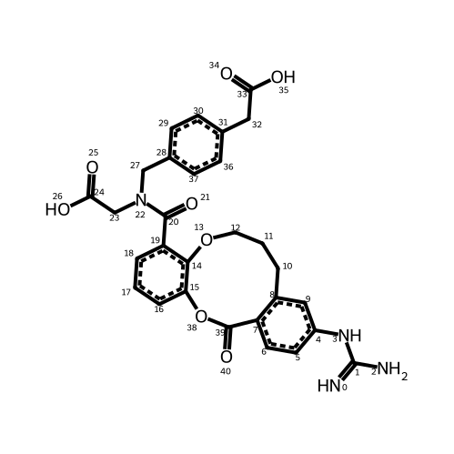 N=C(N)Nc1ccc2c(c1)CCCOc1c(cccc1C(=O)N(CC(=O)O)Cc1ccc(CC(=O)O)cc1)OC2=O